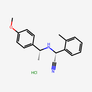 COc1ccc([C@@H](C)N[C@@H](C#N)c2ccccc2C)cc1.Cl